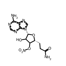 NC(=O)CC[C@H]1O[C@@H](n2cnc3c(N)ncnc32)C(O)C1O[N+](=O)[O-]